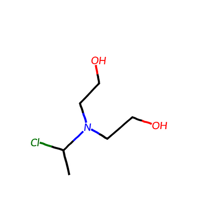 CC(Cl)N(CCO)CCO